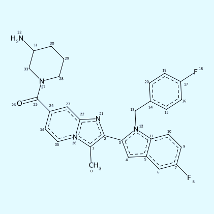 Cc1c(-c2cc3cc(F)ccc3n2Cc2ccc(F)cc2)nc2cc(C(=O)N3CCCC(N)C3)ccn12